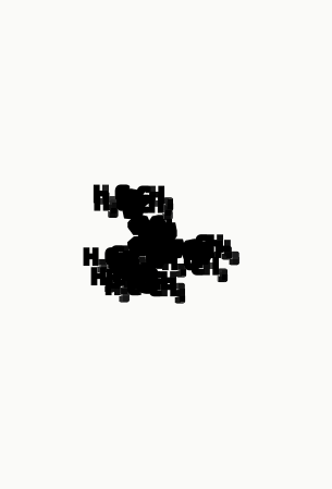 CC1(C)CCC(C)(C)C2CC=C(c3ccc(N4c5ccc(-c6ccc7c(c6)C(C)(C)CCC7(C)C)cc5B5c6cc(-c7ccc8c(c7)C(C)(C)CCC8(C)C)ccc6N(c6ccc(-c7ccc8c(c7)C(C)(C)CCC8(C)C)cc6)c6c7c8c(c4c65)CCCN8CCC7)cc3)C=C21